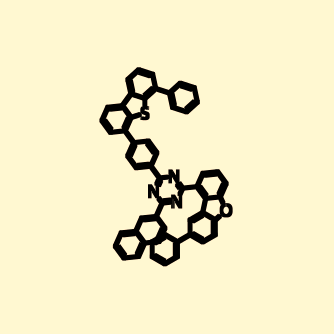 c1ccc(-c2ccc3oc4cccc(-c5nc(-c6ccc(-c7cccc8c7sc7c(-c9ccccc9)cccc78)cc6)nc(-c6ccc7ccccc7c6)n5)c4c3c2)cc1